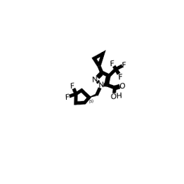 O=C(O)c1c(C(F)(F)F)c(C2CC2)nn1C[C@H]1CCC(F)(F)C1